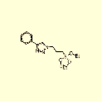 CCO[Si](CCCn1cc(-c2ccccc2)nn1)(OCC)OCC